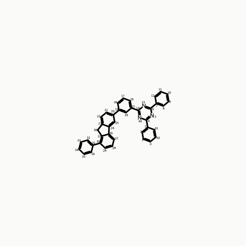 c1ccc(-c2nc(-c3ccccc3)nc(-c3cccc(-c4ccc5c(c4)-c4cccc(-c6ccccc6)c4C5)c3)n2)cc1